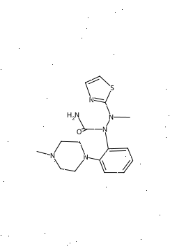 CN1CCN(c2ccccc2N(C(N)=O)N(C)c2nccs2)CC1